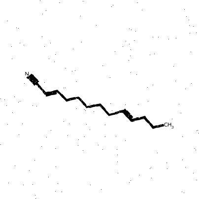 CCCC=CCCCCCC=CC#N